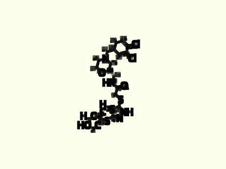 CC(C)(SC1=NNC(SCC(=O)NC[C@H]2CN(CC3C=C(Cl)C(Cl)=CC3)CCO2)S1)C(=O)O